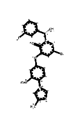 COc1cc(Oc2cc(Cl)nn([C@@H](C)c3cccc(F)c3)c2=O)ccc1-n1cnc(C)c1